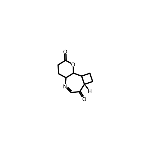 O=C1CCC2N=CC(=O)[C@H]3CCC3C2O1